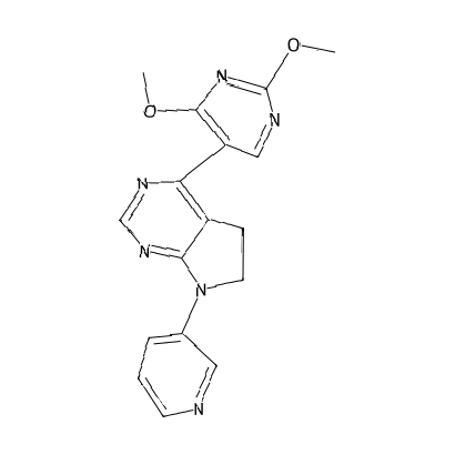 COc1ncc(-c2ncnc3c2CCN3c2cccnc2)c(OC)n1